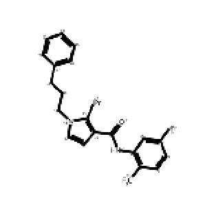 CC(C)c1ccc(C(F)(F)F)c(NC(=O)c2ccn(CCCc3ccccc3)c2C(C)C)c1